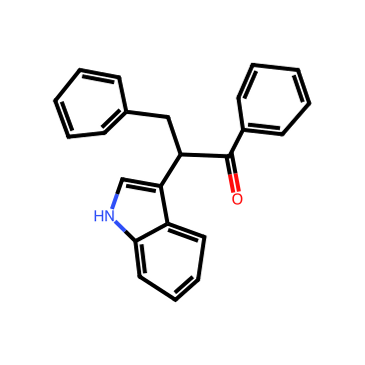 O=C(c1ccccc1)C(Cc1ccccc1)c1c[nH]c2ccccc12